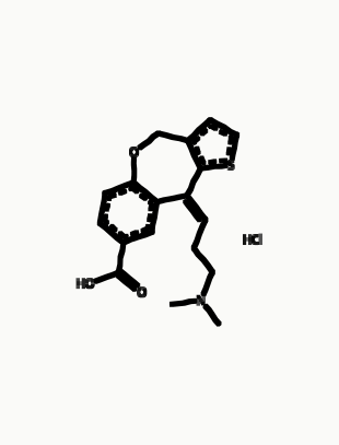 CN(C)CC/C=C1\c2cc(C(=O)O)ccc2OCc2ccsc21.Cl